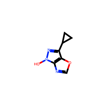 On1nc(C2CC2)c2ocnc21